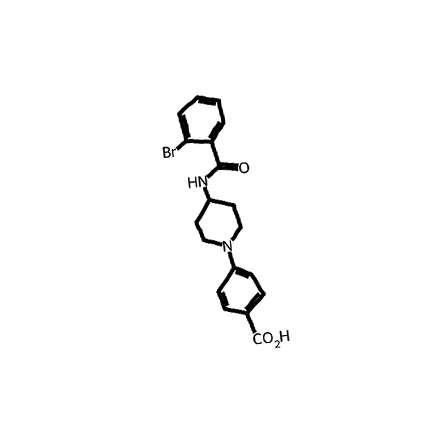 O=C(O)c1ccc(N2CCC(NC(=O)c3ccccc3Br)CC2)cc1